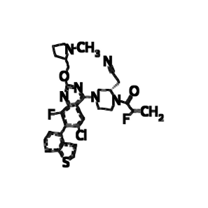 C=C(F)C(=O)N1CCN(c2nc(OCC3CCCN3C)nc3c(F)c(-c4cccc5sccc45)c(Cl)cc23)C[C@@H]1CC#N